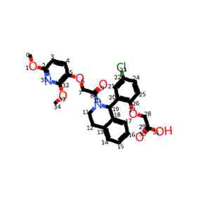 COc1ccc(OCC(=O)N2CCc3ccccc3C2c2cc(Cl)ccc2OCC(=O)O)c(OC)n1